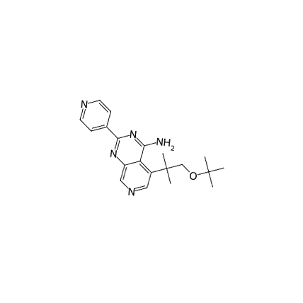 CC(C)(C)OCC(C)(C)c1cncc2nc(-c3ccncc3)nc(N)c12